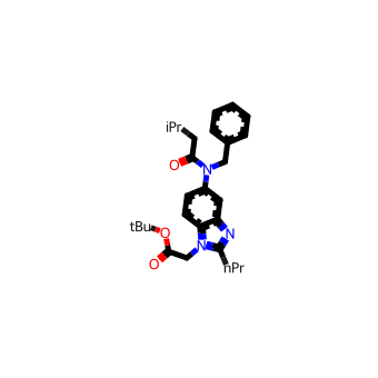 CCCc1nc2cc(N(Cc3ccccc3)C(=O)CC(C)C)ccc2n1CC(=O)OC(C)(C)C